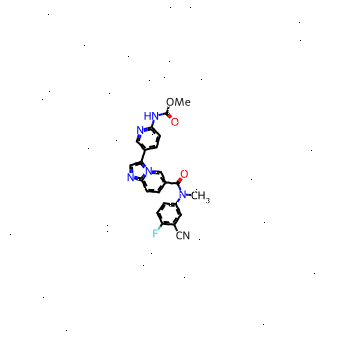 COC(=O)Nc1ccc(-c2cnc3ccc(C(=O)N(C)c4ccc(F)c(C#N)c4)cn23)cn1